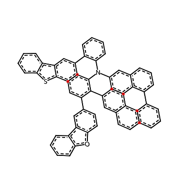 c1ccc(-c2cccc3cc(N(c4ccccc4-c4ccc5sc6ccccc6c5c4)c4cccc(-c5ccc6oc7ccccc7c6c5)c4-c4ccc5ccccc5c4)ccc23)cc1